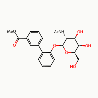 COC(=O)c1cccc(-c2ccccc2O[C@@H]2O[C@H](CO)[C@H](O)[C@H](O)[C@H]2NC(C)=O)c1